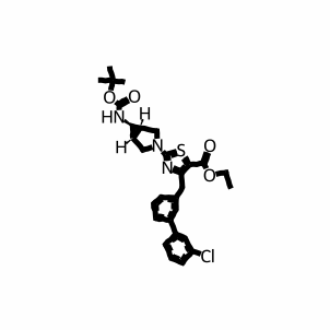 CCOC(=O)c1sc(N2C[C@@H]3[C@H](C2)[C@@H]3NC(=O)OC(C)(C)C)nc1Cc1cccc(-c2cccc(Cl)c2)c1